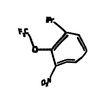 [CH2]C(C)c1cccc([N+](=O)[O-])c1OC(F)(F)F